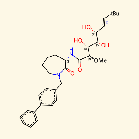 CO[C@@H](C(=O)N[C@H]1CCCCN(Cc2ccc(-c3ccccc3)cc2)C1=O)[C@H](O)[C@@H](O)[C@H](O)/C=C/C(C)(C)C